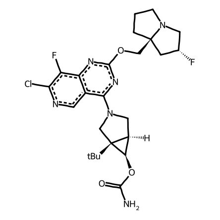 CC(C)(C)[C@@]12CN(c3nc(OC[C@@]45CCCN4C[C@H](F)C5)nc4c(F)c(Cl)ncc34)C[C@H]1[C@H]2OC(N)=O